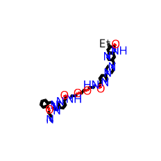 CCc1cc2ncc(CN3CCN(c4ccc(C(=O)NCCOCCOCCNC(=O)c5ccc6ncn(Cc7ccccc7OCCN(C)C)c6n5)nc4)CC3)cc2[nH]c1=O